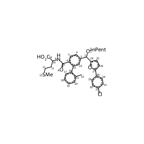 CCCCCOC(c1ccc(C(=O)NC(CCSC)C(=O)O)c(-c2ccccc2C)c1)c1ccc(-c2ccc(Cl)cc2)o1